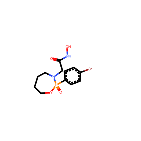 O=C(CN1CCCCOP1(=O)c1ccc(Br)cc1)NO